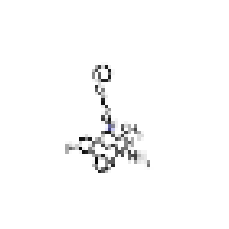 Cc1nc(N)nc2c1/C(=N/OCCCOC1CCCCO1)C[C@@H](c1ccc(F)cc1-c1cccnc1)C2